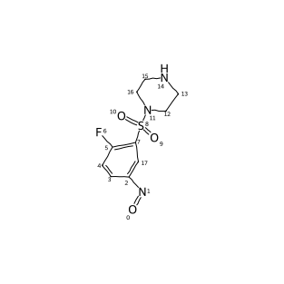 O=Nc1ccc(F)c(S(=O)(=O)N2CCNCC2)c1